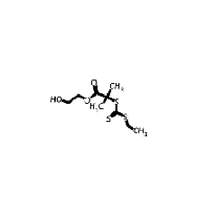 CCSC(=S)SC(C)(C)C(=O)OCCO